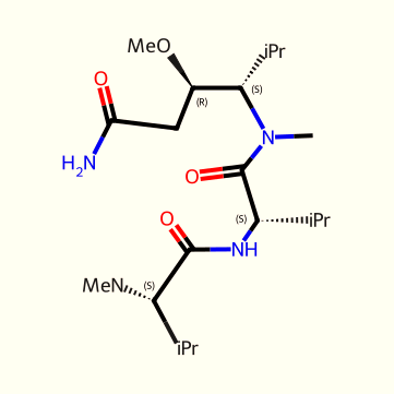 CN[C@H](C(=O)N[C@H](C(=O)N(C)[C@@H](C(C)C)[C@@H](CC(N)=O)OC)C(C)C)C(C)C